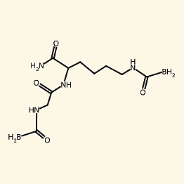 BC(=O)NCCCCC(NC(=O)CNC(B)=O)C(N)=O